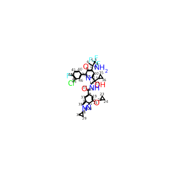 N[C@@]1(C(F)(F)F)COc2c1cc(C(O)(CNC(=O)c1cc(OC3CC3)c3nn(C4CC4)cc3c1)C1CC1)nc2-c1ccc(F)c(Cl)c1